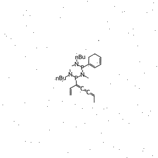 C=CC(=C=C=CC)P(N(C)CCCC)N(C)P(C1=CC=CCC1)N(C)CCCC